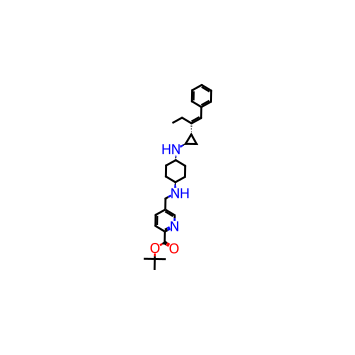 CC/C(=C\c1ccccc1)[C@@H]1C[C@H]1N[C@H]1CC[C@H](NCc2ccc(C(=O)OC(C)(C)C)nc2)CC1